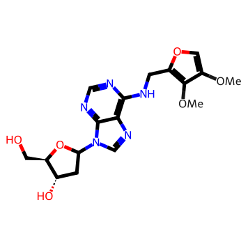 COc1coc(CNc2ncnc3c2ncn3C2C[C@H](O)[C@@H](CO)O2)c1OC